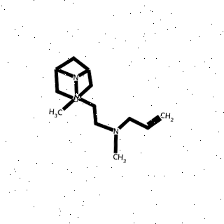 C=CCN(C)CCN(C)N1C2COCC1C2